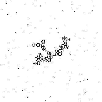 Cc1cc(C(C)(C)C)c(OC(=O)c2cc(=O)c3c(OCC(COc4cccc5oc(C(=O)Oc6c(C(C)(C)C)cc(C)c(CC7=NCCN7)c6C)cc(=O)c45)OC(=O)COCCN4CCN(C(c5ccccc5)c5ccc(Cl)cc5)CC4)cccc3o2)c(C)c1CC1=NCCN1